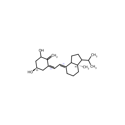 C=C1/C(=C\C=C2/CCC[C@@]3(C)C2CCC3C(C)C)C[C@@H](O)CC1O